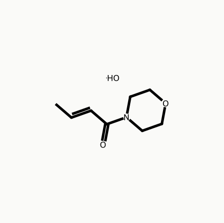 CC=CC(=O)N1CCOCC1.[OH]